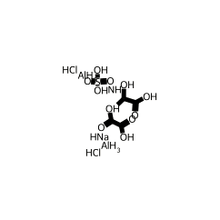 CC(O)C(=O)O.Cl.Cl.N.O=C(O)C(=O)O.O=S(=O)(O)O.[AlH3].[AlH3].[NaH]